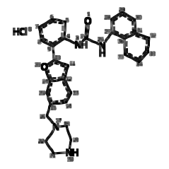 Cl.O=C(Nc1ccccc1-c1cc2ccc(CN3CCNCC3)cc2o1)Nc1cccc2ccccc12